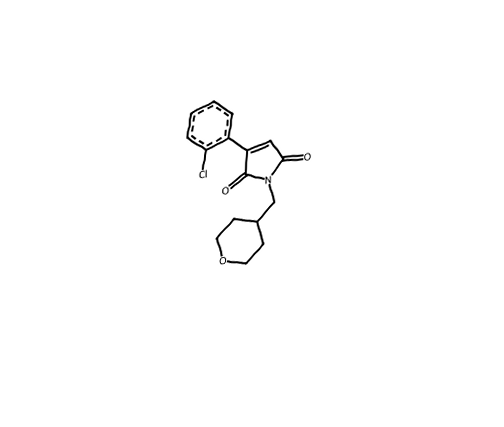 O=C1C=C(c2ccccc2Cl)C(=O)N1CC1CCOCC1